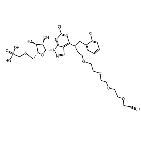 C#CCOCCOCCOCCOCCN(Cc1ccccc1Cl)c1nc(Cl)nc2c1cnn2[C@@H]1O[C@H](CSCP(=O)(O)O)[C@@H](O)[C@H]1O